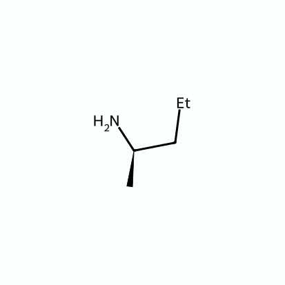 [CH2]CC[C@@H](C)N